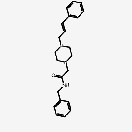 O=C(CN1CCN(CC=Cc2ccccc2)CC1)NCc1ccccc1